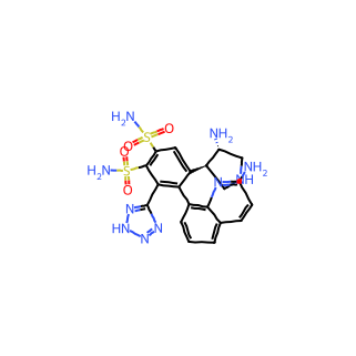 Nc1ccc2cccc(-c3c([C@@H]4CNC[C@H]4N)cc(S(N)(=O)=O)c(S(N)(=O)=O)c3-c3nn[nH]n3)c2n1